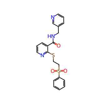 O=C(NCc1cccnc1)c1cccnc1SCCS(=O)(=O)c1ccccc1